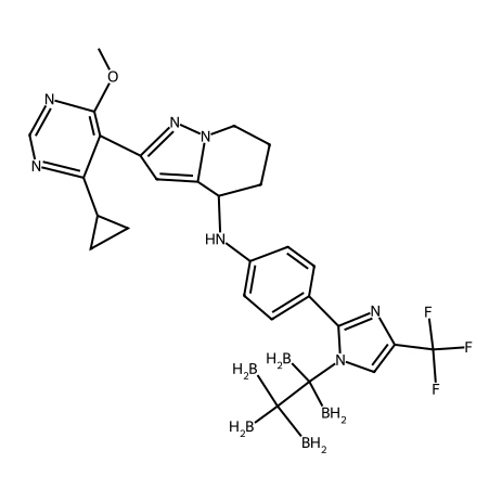 BC(B)(B)C(B)(B)n1cc(C(F)(F)F)nc1-c1ccc(NC2CCCn3nc(-c4c(OC)ncnc4C4CC4)cc32)cc1